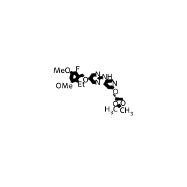 CCc1c(OC)cc(OC)c(F)c1COc1cnc(Nc2ccc(OC[C@@H]3COC(C)(C)O3)nc2)nc1